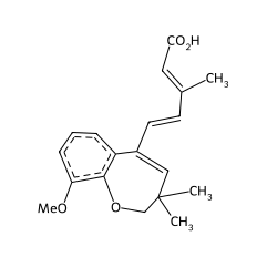 COc1cccc2c1OCC(C)(C)C=C2C=CC(C)=CC(=O)O